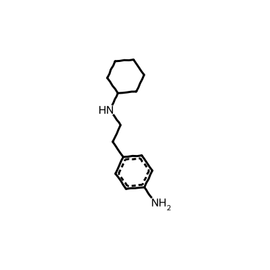 Nc1ccc(CCNC2CCCCC2)cc1